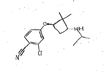 CC(C)N[C@@H]1C[C@@H](Oc2ccc(C#N)c(Cl)c2)C1(C)C